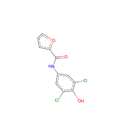 O=C(Nc1cc(Cl)c(O)c(Cl)c1)c1ccco1